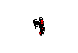 CC(=O)N1CCc2c(c(-c3ccc(C(F)(F)F)cc3)nn2CC(O)CN2CCN(c3ccc(C)cc3)CC2)C1